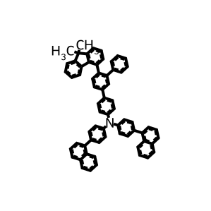 CC1(C)c2ccccc2-c2c(-c3ccc(-c4ccc(N(c5ccc(-c6cccc7ccccc67)cc5)c5ccc(-c6cccc7ccccc67)cc5)cc4)cc3-c3ccccc3)cccc21